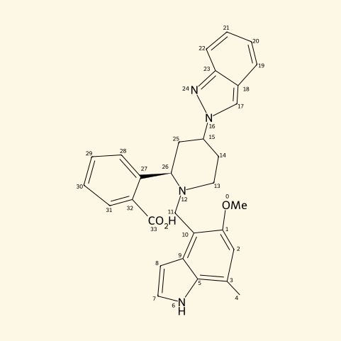 COc1cc(C)c2[nH]ccc2c1CN1CCC(n2cc3ccccc3n2)C[C@@H]1c1ccccc1C(=O)O